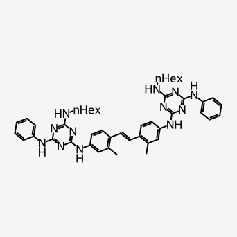 CCCCCCNc1nc(Nc2ccccc2)nc(Nc2ccc(C=Cc3ccc(Nc4nc(NCCCCCC)nc(Nc5ccccc5)n4)cc3C)c(C)c2)n1